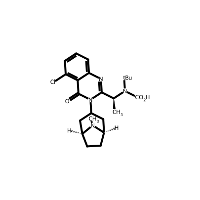 C[C@@H](c1nc2cccc(Cl)c2c(=O)n1C1C[C@H]2CC[C@@H](C1)N2C)N(C(=O)O)C(C)(C)C